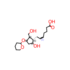 O=C(O)CCC/C=C\C[C@H]1[C@H](CO)[C@@H](OC2CCCCO2)C[C@H]1O